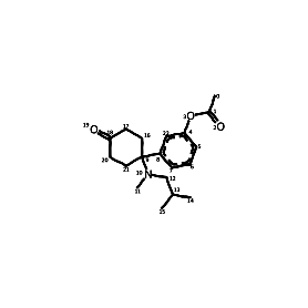 CC(=O)Oc1cccc(C2(N(C)CC(C)C)CCC(=O)CC2)c1